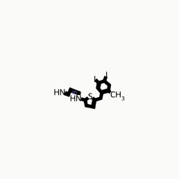 CC1=C(CC2=CCC(N/C=C\C=N)S2)C=C(I)C(I)C1